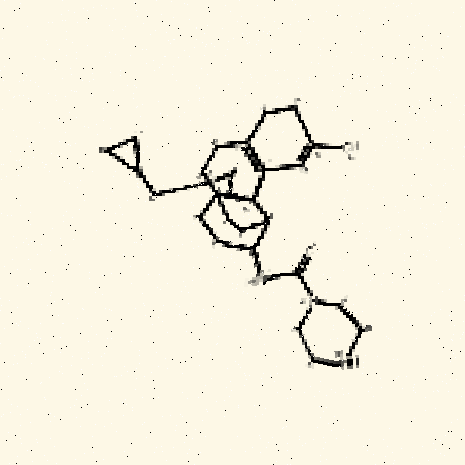 O=C(NC1CCC23CCC1C21CCN(CC2CC2)C3CC2=C1C=C(O)CC2)N1CCNCC1